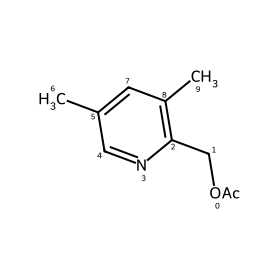 CC(=O)OCc1ncc(C)cc1C